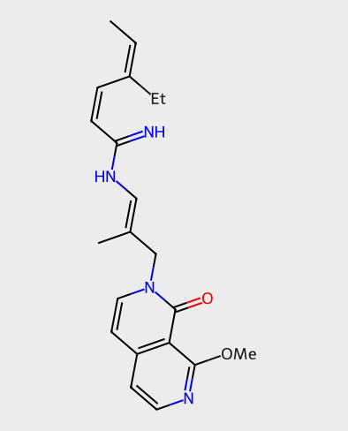 C/C=C(\C=C/C(=N)N/C=C(\C)Cn1ccc2ccnc(OC)c2c1=O)CC